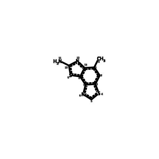 Cc1cc2scnc2c2sc(N)nc12